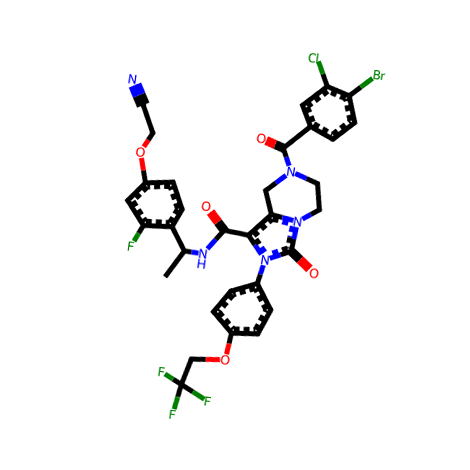 CC(NC(=O)c1c2n(c(=O)n1-c1ccc(OCC(F)(F)F)cc1)CCN(C(=O)c1ccc(Br)c(Cl)c1)C2)c1ccc(OCC#N)cc1F